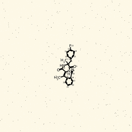 CC(=C1NC(=O)C(C)(Cc2ccc(F)cc2)NC1=O)c1ccccc1C#N